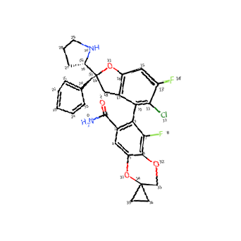 NC(=O)c1cc2c(c(F)c1-c1c(Cl)c(F)cc3c1C[C@](c1ccccc1)([C@@H]1CCCN1)O3)OCC1(CC1)O2